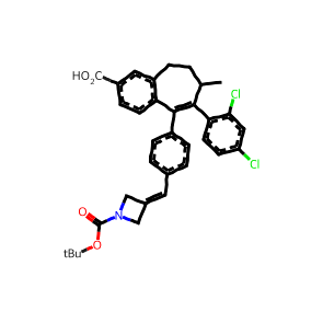 CC1CCc2cc(C(=O)O)ccc2C(c2ccc(C=C3CN(C(=O)OC(C)(C)C)C3)cc2)=C1c1ccc(Cl)cc1Cl